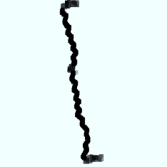 CCCCCCCCCCCCCCCCCCCCCCCCCCC[CH]OCCCCCCCCCCCCCCCCCCCCCC